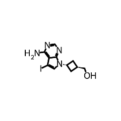 Nc1ncnc2c1c(I)cn2[C@H]1C[C@H](CO)C1